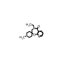 CCN1CC2(CCN(C)CC2)Oc2ncccc2C1=O